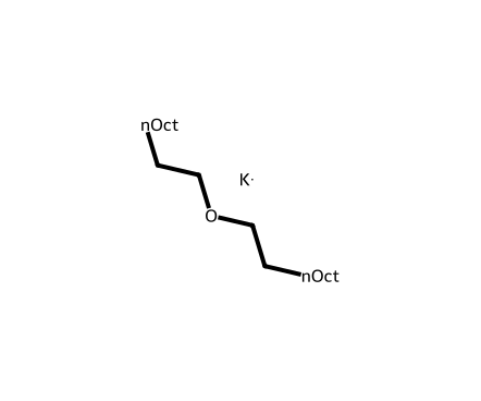 CCCCCCCCCCOCCCCCCCCCC.[K]